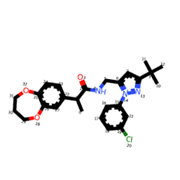 CC(C(=O)NCc1cc(C(C)(C)C)nn1-c1cccc(Cl)c1)c1ccc2c(c1)OCCCO2